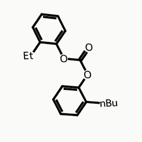 CCCCc1ccccc1OC(=O)Oc1ccccc1CC